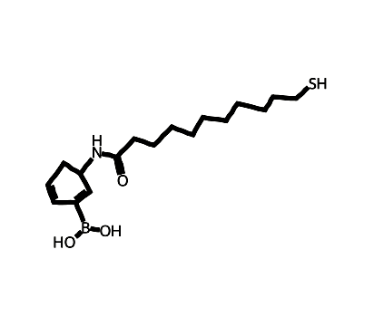 O=C(CCCCCCCCCCS)NC1C=C(B(O)O)C=CC1